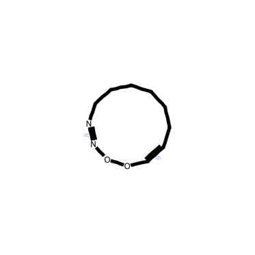 C1=C\OO/N=N\CCCCCC/1